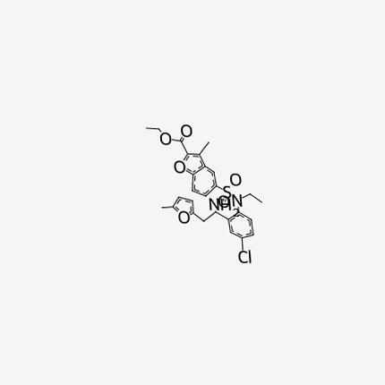 CCOC(=O)c1oc2ccc(S(=O)(=O)N(CC)c3ccc(Cl)cc3C(N)Cc3ccc(C)o3)cc2c1C